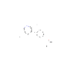 C/C=C\C(=C/C)Oc1ccc(-c2c(C)nc(CC)c(CCC)c2OCC)cc1